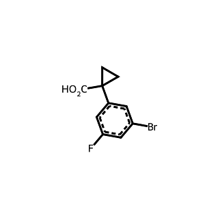 O=C(O)C1(c2cc(F)cc(Br)c2)CC1